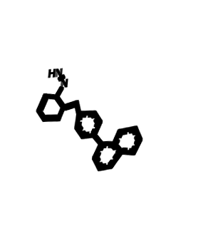 N=NC1C=CC=C/C1=C\c1ccc(-c2cccc3ccccc23)cc1